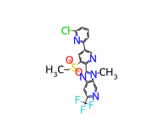 CCS(=O)(=O)c1cc(-c2cccc(Cl)n2)cnc1-c1nc2cc(C(F)(F)F)ncc2n1C